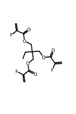 C=C(F)C(=O)OCC(CC)(COC(=O)C(=C)F)COC(=O)C(=C)F